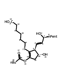 CCCCC[C@H](O)C=C[C@@H]1C(SCCCCCC(=O)O)=C(OC(=O)CCCC)C[C@H]1O